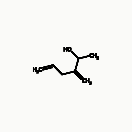 C=CCC(=C)C(C)O